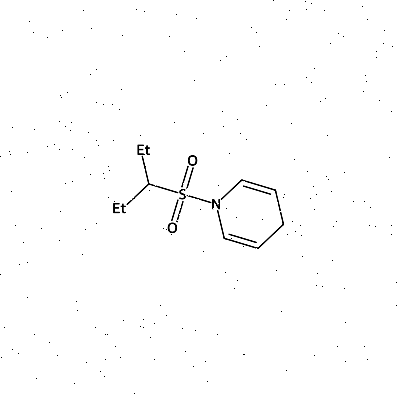 CCC(CC)S(=O)(=O)N1C=CCC=C1